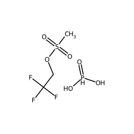 CS(=O)(=O)OCC(F)(F)F.O=[PH](O)O